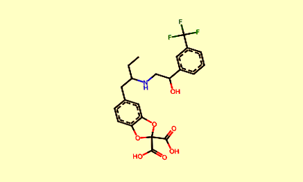 CCC(Cc1ccc2c(c1)OC(C(=O)O)(C(=O)O)O2)NCC(O)c1cccc(C(F)(F)F)c1